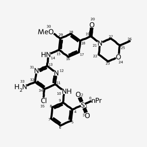 CCCS(=O)(=O)c1ccccc1Nc1nc(Nc2ccc(C(=O)N3CCOC(C)C3)cc2OC)nc(N)c1Cl